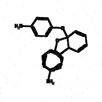 Nc1ccc(OC2(Oc3ccc(N)cc3)C=CC=CC2c2ccccc2)cc1